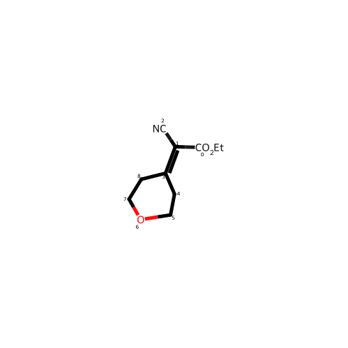 CCOC(=O)C(C#N)=C1CCOCC1